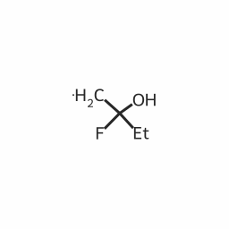 [CH2]C(O)(F)CC